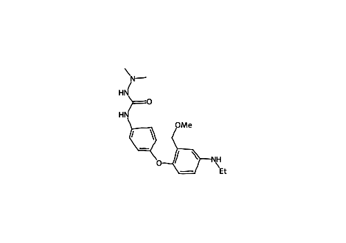 CCNc1ccc(Oc2ccc(NC(=O)NN(C)C)cc2)c(COC)c1